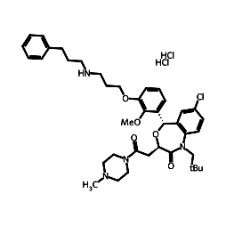 COc1c(OCCCNCCCc2ccccc2)cccc1[C@H]1O[C@H](CC(=O)N2CCN(C)CC2)C(=O)N(CC(C)(C)C)c2ccc(Cl)cc21.Cl.Cl